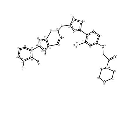 O=C(COc1ccc(-c2cc(CN3Cc4nc(-c5cccc(F)c5F)[nH]c4C=N3)on2)c(C(F)(F)F)c1)N1CCOCC1